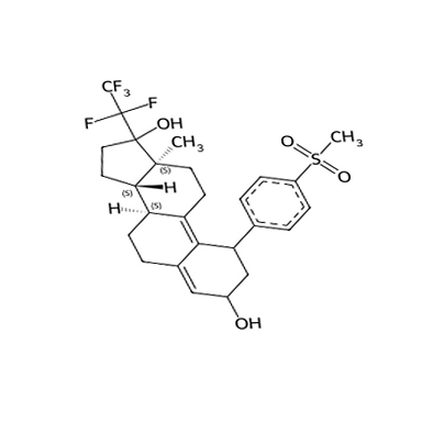 C[C@]12CCC3=C4C(=CC(O)CC4c4ccc(S(C)(=O)=O)cc4)CC[C@H]3[C@@H]1CCC2(O)C(F)(F)C(F)(F)F